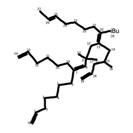 C=CCCCCCC(=CC(C)(C)CC(CC(C)CC=C)=C(CCCCC=CC)C(C)CC)CCCCC=C